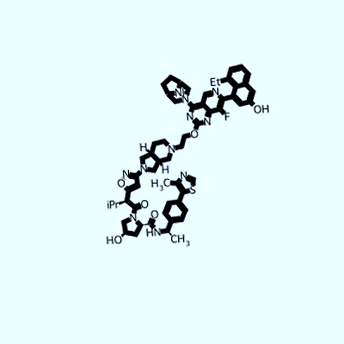 CCc1cccc2cc(O)cc(-c3ncc4c(N5CC6CCC(C5)N6)nc(OCCN5CC[C@H]6CN(c7cc([C@@H](C(=O)N8C[C@H](O)C[C@H]8C(=O)N[C@@H](C)c8ccc(-c9scnc9C)cc8)C(C)C)on7)C[C@H]6C5)nc4c3F)c12